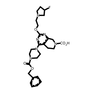 O=C(O)N1CCc2c(nc(OCCN3CCC(F)C3)nc2N2CCN(C(=O)OCc3ccccc3)CC2)C1